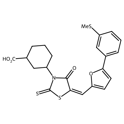 CSc1cccc(-c2ccc(C=C3SC(=S)N(C4CCCC(C(=O)O)C4)C3=O)o2)c1